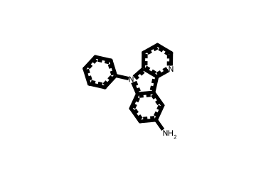 Nc1ccc2c(c1)c1ncccc1n2-c1ccccc1